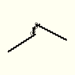 CCCCCCCCCCCCCCCCCCCCCC(C)C(=O)OCC(C)(C)COC(=O)C(C)CCCCCCCCCCCCCCCCCCCCC